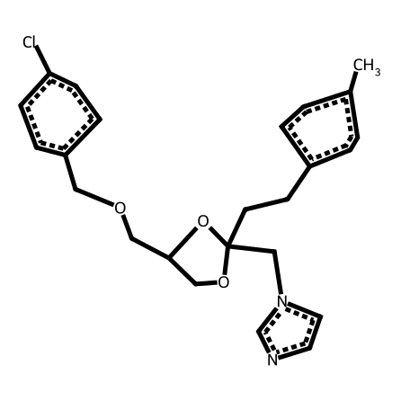 Cc1ccc(CCC2(Cn3ccnc3)OCC(COCc3ccc(Cl)cc3)O2)cc1